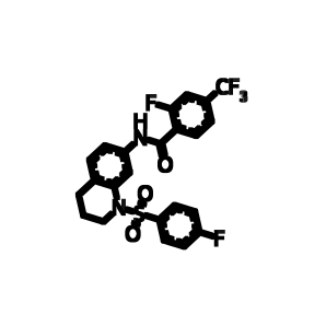 O=C(Nc1ccc2c(c1)N(S(=O)(=O)c1ccc(F)cc1)CCC2)c1ccc(C(F)(F)F)cc1F